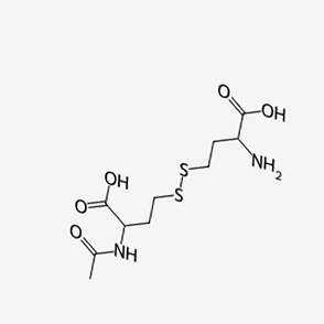 CC(=O)NC(CCSSCCC(N)C(=O)O)C(=O)O